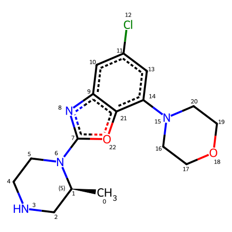 C[C@H]1CNCCN1c1nc2cc(Cl)cc(N3CCOCC3)c2o1